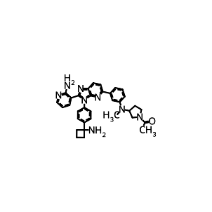 CC(=O)N1CCC(N(C)c2cccc(-c3ccc4nc(-c5cccnc5N)n(-c5ccc(C6(N)CCC6)cc5)c4n3)c2)C1